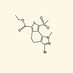 CCOC(=O)c1sc(S(C)(=O)=O)c2c1CCc1c(Br)nn(C)c1-2